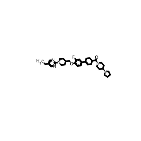 CCc1cnc(N2CCC(COc3ccc(C4=CCC(C(=O)N5CCC(N6CCCC6)CC5)CC4)cc3F)CC2)nc1